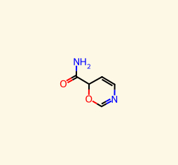 NC(=O)C1C=CN=CO1